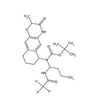 CCCC(NC(=O)C(F)(F)F)N(C(=O)OC(C)(C)C)C1CCCc2cc3c(cc21)NC(=O)C(C)O3